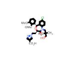 COc1cccc([C@H]2O[C@H](CCn3cc(C(=O)O)cn3)C(=O)N(CC(C)(C)CO)c3ccc(Cl)cc32)c1OC